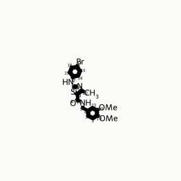 COc1ccc(CNC(=O)c2sc(Nc3ccc(Br)cc3)nc2C)cc1OC